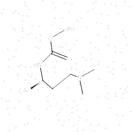 CC(=O)[C@H](CCN(C)C)NC(=O)OC(C)(C)C